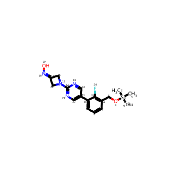 CC(C)(C)[Si](C)(C)OCc1cccc(-c2cnc(N3CC(=NO)C3)nc2)c1F